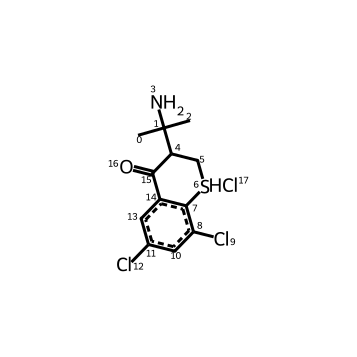 CC(C)(N)C1CSc2c(Cl)cc(Cl)cc2C1=O.Cl